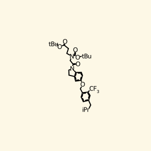 CC(C)Cc1ccc(COc2ccc3c(c2)CCN3C(=O)CN(CCC(=O)OC(C)(C)C)C(=O)OC(C)(C)C)c(C(F)(F)F)c1